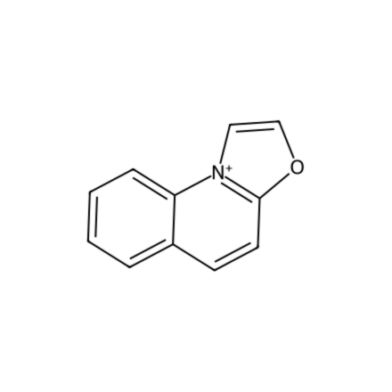 c1ccc2c(c1)ccc1occ[n+]12